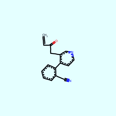 C=CC(=O)Cc1cnccc1-c1ccccc1C#N